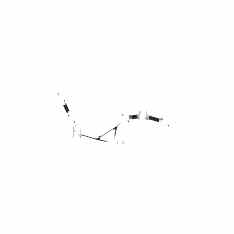 [N-]=[N+]=NC1OC1N=[N+]=[N-]